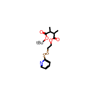 CC(C(=O)OCCSSc1ccccn1)C(C)C(=O)OC(C)(C)C